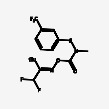 CN(Sc1cccc(C(F)(F)F)c1)C(=O)ON=C(C(F)F)C(C)(C)C